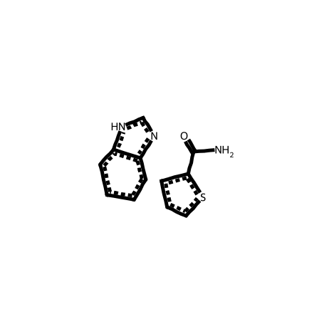 NC(=O)c1cccs1.c1ccc2[nH]cnc2c1